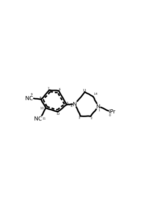 CC(C)N1CCN(c2ccc(C#N)c(C#N)c2)CC1